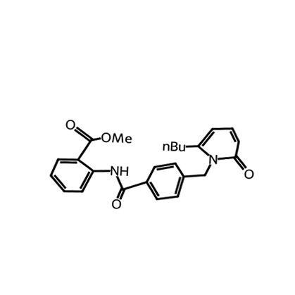 CCCCc1cccc(=O)n1Cc1ccc(C(=O)Nc2ccccc2C(=O)OC)cc1